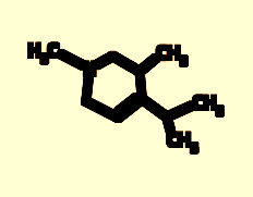 CC(C)C1=CCN(C)CC1C